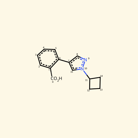 O=C(O)c1ccccc1-c1cnn(C2CCC2)c1